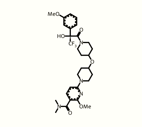 COc1cccc([C@@](O)(C(=O)N2CCC(OC3CCN(c4ccc(C(=O)N(C)C)c(OC)n4)CC3)CC2)C(F)(F)F)c1